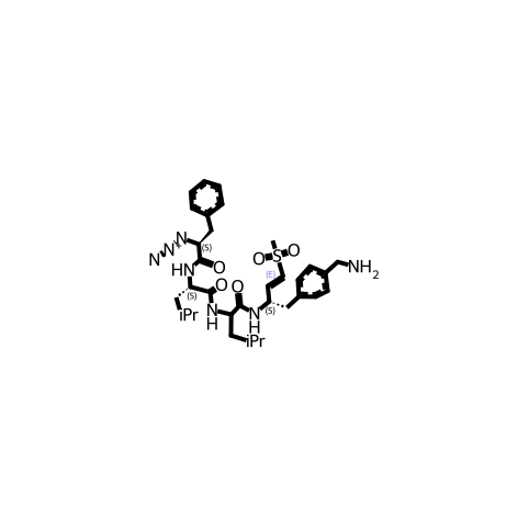 CC(C)CC(NC(=O)[C@H](CC(C)C)NC(=O)[C@H](Cc1ccccc1)N=[N+]=[N-])C(=O)N[C@H](/C=C/S(C)(=O)=O)Cc1ccc(CN)cc1